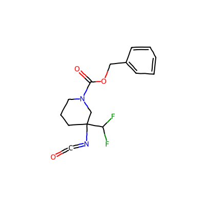 O=C=NC1(C(F)F)CCCN(C(=O)OCc2ccccc2)C1